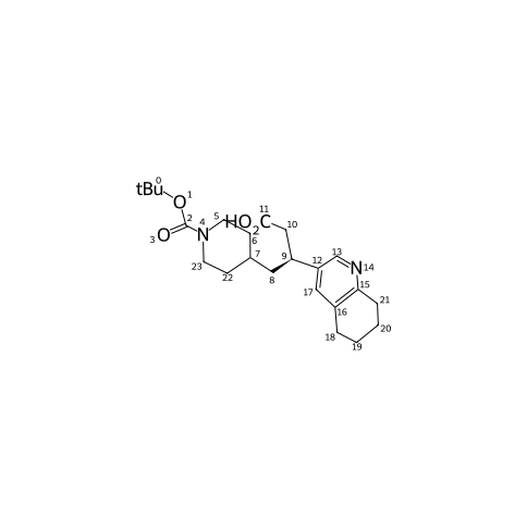 CC(C)(C)OC(=O)N1CCC(C[C@@H](CC(=O)O)c2cnc3c(c2)CCCC3)CC1